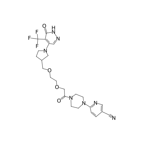 N#Cc1ccc(N2CCN(C(=O)COCCOCC3CCN(c4cn[nH]c(=O)c4C(F)(F)F)C3)CC2)nc1